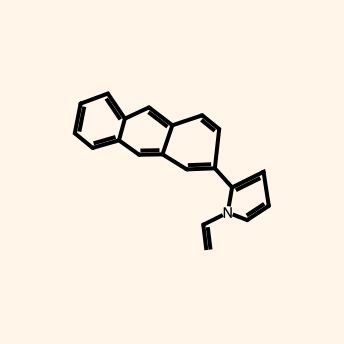 C=Cn1cccc1-c1ccc2cc3ccccc3cc2c1